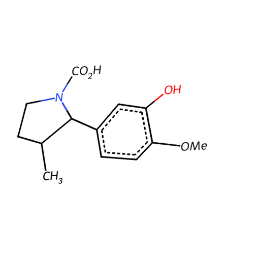 COc1ccc(C2C(C)CCN2C(=O)O)cc1O